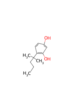 CCCC(C)(C)c1ccc(O)cc1O